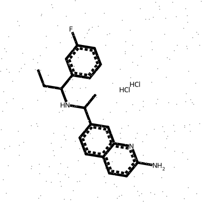 CCC(NC(C)c1ccc2ccc(N)nc2c1)c1cccc(F)c1.Cl.Cl